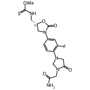 COC(=S)NC[C@H]1CN(c2ccc(N3CC(=O)N(CC(N)=O)C3)c(F)c2)C(=O)O1